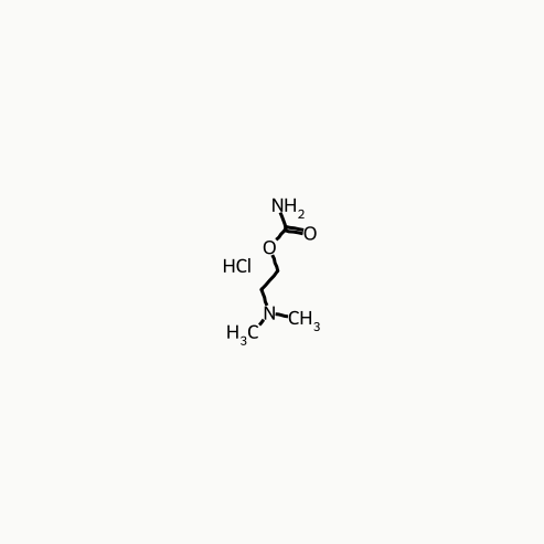 CN(C)CCOC(N)=O.Cl